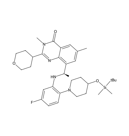 Cc1cc([C@@H](C)Nc2cc(F)ccc2N2CCC(O[Si](C)(C)C(C)(C)C)CC2)c2nc(C3CCOCC3)n(C)c(=O)c2c1